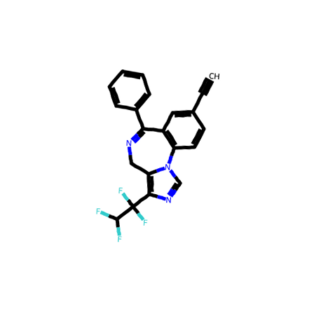 C#Cc1ccc2c(c1)C(c1ccccc1)=NCc1c(C(F)(F)C(F)F)ncn1-2